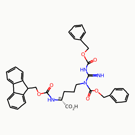 N=C(NC(=O)OCc1ccccc1)N(CCC[C@@H](NC(=O)OCC1c2ccccc2-c2ccccc21)C(=O)O)C(=O)OCc1ccccc1